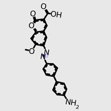 COc1cc2oc(=O)c(C(=O)O)cc2cc1/N=N/c1ccc(-c2ccc(N)cc2)cc1